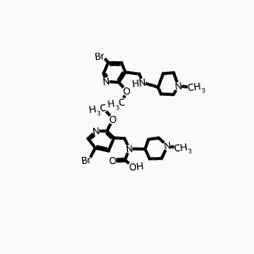 COc1ncc(Br)cc1CN(C(=O)O)C1CCN(C)CC1.COc1ncc(Br)cc1CNC1CCN(C)CC1